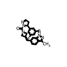 Cc1n[nH]c2cc(C=C3CN(C(=O)N4N=CCC4c4cc(F)cc(F)c4)C3)ccc12